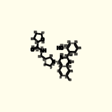 Cc1ccc2c(N3CCC(CNC(=O)[C@H]4CCCO4)C3)nc(-c3ccccc3O)nc2c1